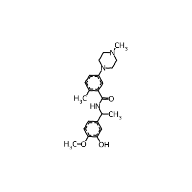 COc1ccc(C(C)NC(=O)c2cc(N3CCN(C)CC3)ccc2C)cc1O